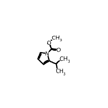 COC(=O)n1cccc1C(C)C